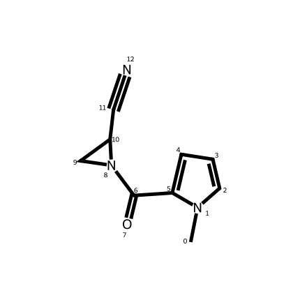 Cn1cccc1C(=O)N1CC1C#N